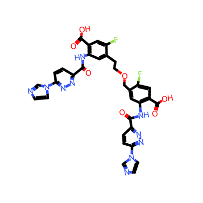 O=C(Nc1cc(CCOCc2cc(NC(=O)c3ccc(-n4ccnc4)nn3)c(C(=O)O)cc2F)c(F)cc1C(=O)O)c1ccc(-n2ccnc2)nn1